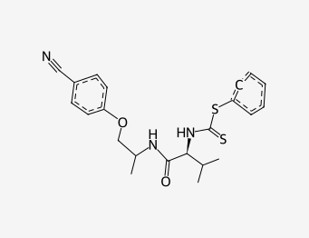 CC(COc1ccc(C#N)cc1)NC(=O)[C@@H](NC(=S)Sc1ccccc1)C(C)C